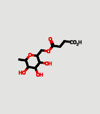 CC1OC(COC(=O)CCC(=O)O)C(O)C(O)C1O